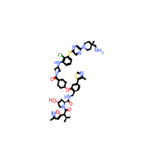 Cc1cc(C(C(=O)N2C[C@H](O)C[C@H]2C(=O)NCc2ccc(-c3scnc3C)cc2OC2CCC(C(=O)N3CC(Nc4cccc(Sc5cnc(N6CCC(C)(CN)CC6)cn5)c4Cl)C3)CC2)C(C)C)on1